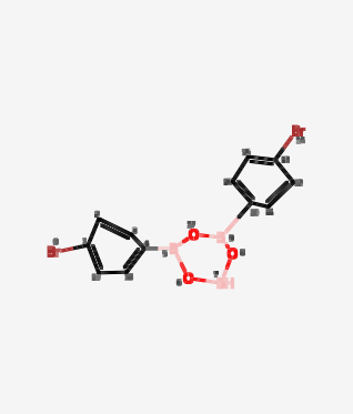 Brc1ccc(B2OBOB(c3ccc(Br)cc3)O2)cc1